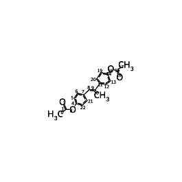 CC(=O)Oc1ccc(/C=C(\C)c2ccc(OC(C)=O)cc2)cc1